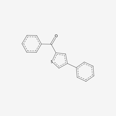 O=C(c1ccccc1)c1cc(-c2ccccc2)cs1